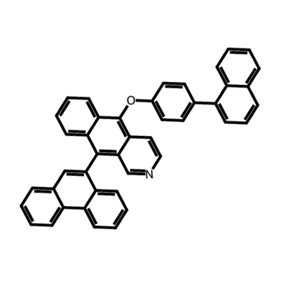 c1ccc2c(-c3ccc(Oc4c5ccccc5c(-c5cc6ccccc6c6ccccc56)c5cnccc45)cc3)cccc2c1